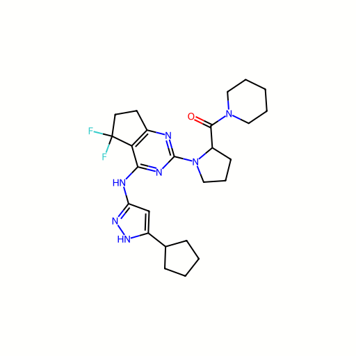 O=C(C1CCCN1c1nc2c(c(Nc3cc(C4CCCC4)[nH]n3)n1)C(F)(F)CC2)N1CCCCC1